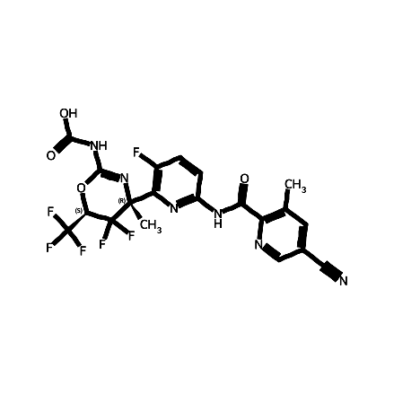 Cc1cc(C#N)cnc1C(=O)Nc1ccc(F)c([C@@]2(C)N=C(NC(=O)O)O[C@H](C(F)(F)F)C2(F)F)n1